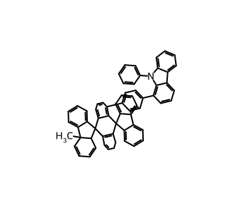 CC12C=CC=CC1C1(C3=C(CCC=C3)C3(c4ccccc4-c4ccccc43)c3c(-c4ccc(-c5cccc6c7ccccc7n(-c7ccccc7)c56)cc4)cccc31)c1ccccc12